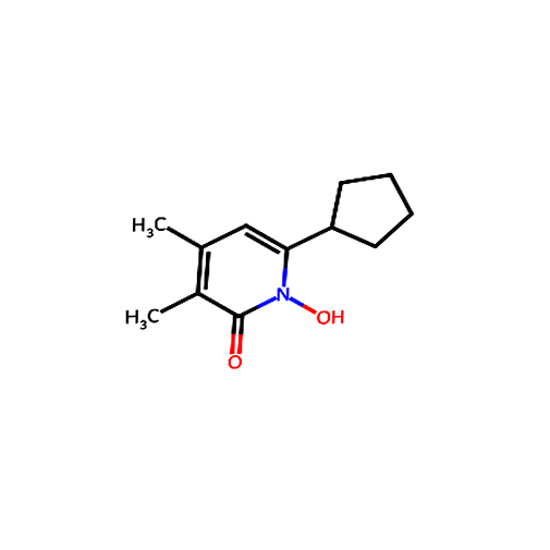 Cc1cc(C2CCCC2)n(O)c(=O)c1C